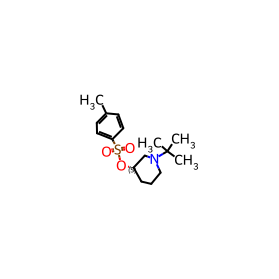 Cc1ccc(S(=O)(=O)O[C@H]2CCCN(C(C)(C)C)C2)cc1